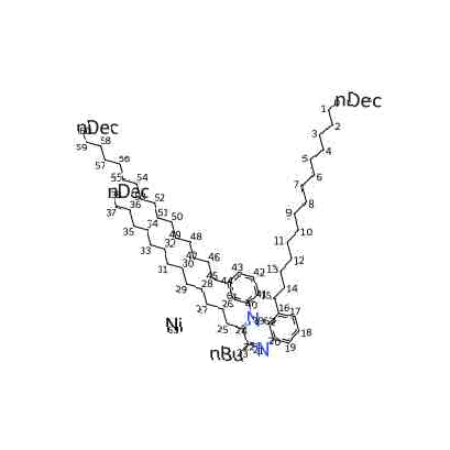 CCCCCCCCCCCCCCCCCCCCCCCCCc1cccc(N=C(CCCC)C(CCCCCCCCCCCCCCCCCCCCCCC)=Nc2cccc(CCCCCCCCCCCCCCCCCCCCCCCCC)c2)c1.[Ni]